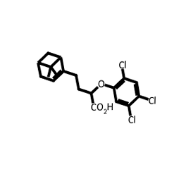 CC1(C)C2CC=C(CCC(Oc3cc(Cl)c(Cl)cc3Cl)C(=O)O)C1C2